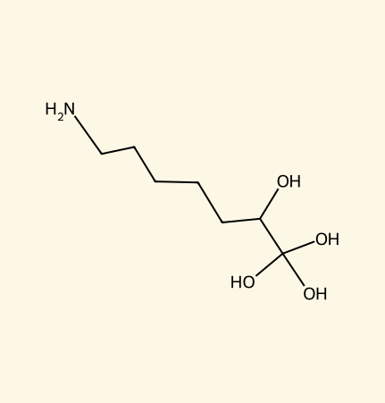 NCCCCCC(O)C(O)(O)O